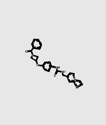 O=C(NCc1ccn2ccnc2c1)Nc1ccc(OC2CN(C(=O)c3ccccc3)C2)cc1